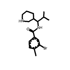 Cc1ccc(C(=O)NC(C(C)C)C2CCCNC2)cc1Br